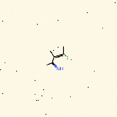 CC(=N)/C(C)=C(/C)Cl